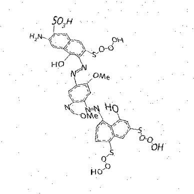 CO/C=N\c1cc(N=Nc2c(SOOO)cc3cc(S(=O)(=O)O)c(N)cc3c2O)c(OC)cc1N=Nc1ccc(SOOO)c2cc(SOOO)cc(O)c12